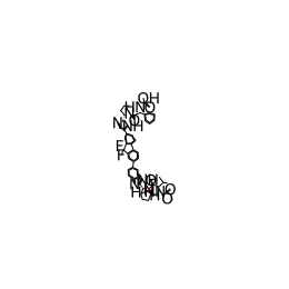 COC(=O)N[C@H](C(=O)N1[C@@H]2CC[C@@H](C2)[C@H]1c1nc2ccc(-c3ccc4c(c3)C(F)(F)c3cc(-c5cnc([C@@H]6CCCN6C(=O)[C@H](NC(=O)O)c6ccccc6)[nH]5)ccc3-4)cc2[nH]1)C(C)C